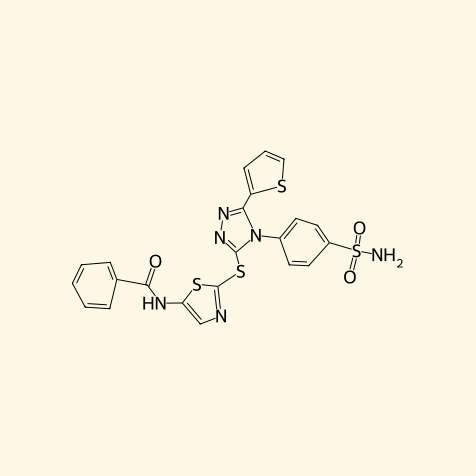 NS(=O)(=O)c1ccc(-n2c(Sc3ncc(NC(=O)c4ccccc4)s3)nnc2-c2cccs2)cc1